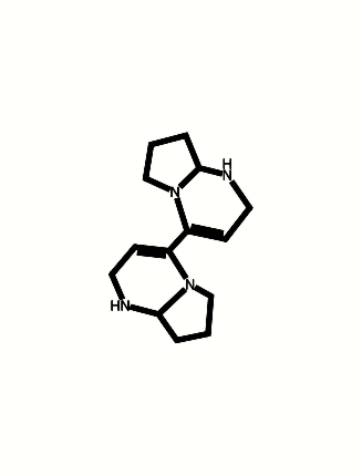 C1=C(C2=CCNC3CCCN23)N2CCCC2NC1